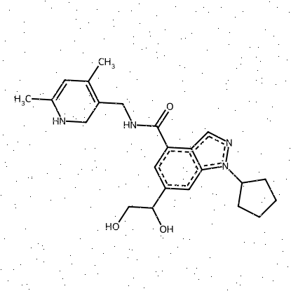 CC1=CC(C)=C(CNC(=O)c2cc(C(O)CO)cc3c2cnn3C2CCCC2)CN1